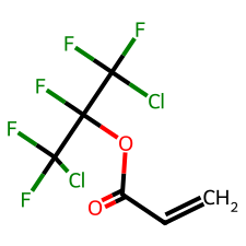 C=CC(=O)OC(F)(C(F)(F)Cl)C(F)(F)Cl